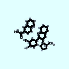 C[C@H]1CCCN1c1cc2ccccc2nc1-c1ccc(F)c(F)c1.O=C(O)c1ccc2ncccc2c1